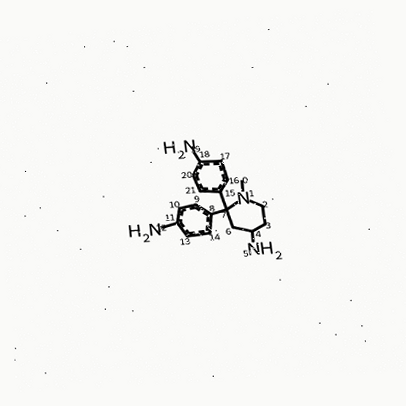 CN1CCC(N)CC1(c1ccc(N)cc1)c1ccc(N)cc1